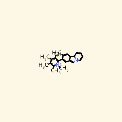 CC1=CC2C(=CN3C=CC=CC23)C=C1c1c(C)c(C)c(C)c(C)[n+]1C